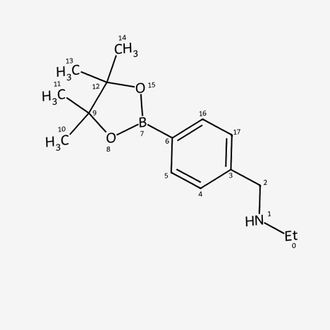 CCNCc1ccc(B2OC(C)(C)C(C)(C)O2)cc1